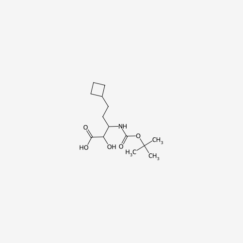 CC(C)(C)OC(=O)NC(CCC1CCC1)C(O)C(=O)O